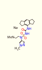 CNCCN(c1cnn(C)c1)S(=O)(=O)NC(=O)Nc1c2c(cc3c1CCC3)CCC2.[Na]